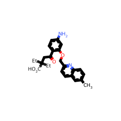 CCC(CC)(CC(=O)c1ccc(N)cc1OCc1ccc2cc(C)ccc2n1)C(=O)O